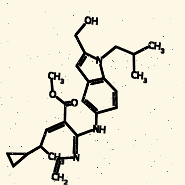 C=C/N=C(Nc1ccc2c(c1)cc(CO)n2CC(C)C)\C(=C/C(C)C1CC1)C(=O)OC